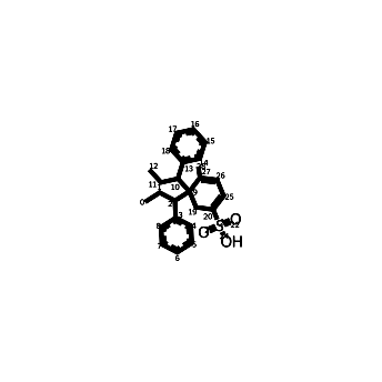 CCC(c1ccccc1)C1(C(CC)c2ccccc2)CC(S(=O)(=O)O)=CC=C1C